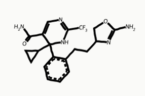 NC(=O)C1=CN=C(C(F)(F)F)NC1(c1ccccc1CCC1COC(N)=N1)C1CC1